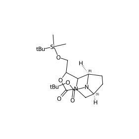 CC(C)(C)OC(=O)N1[C@H]2CC[C@@H]1C1C(CO[Si](C)(C)C(C)(C)C)OC(=O)N1C2